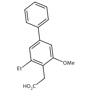 CCc1cc(-c2ccccc2)cc(OC)c1CC(=O)O